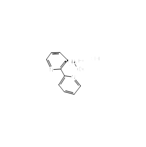 CC(C)(C)N.Cl.Cl.Cl.c1ccc(-c2ccccn2)nc1